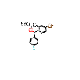 CCOC(=O)c1cc(Br)ccc1C(=O)c1ccc(F)cc1